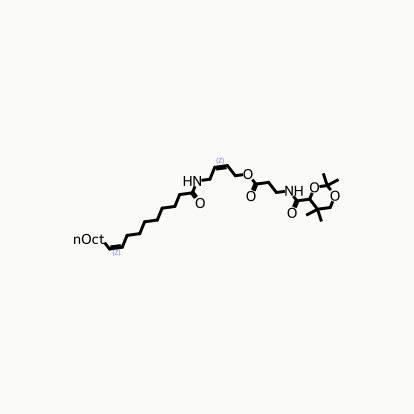 CCCCCCCC/C=C\CCCCCCCC(=O)NC/C=C\COC(=O)CCNC(=O)C1OC(C)(C)OCC1(C)C